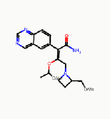 COCC1CCN1CC(OC(C)OC)=C(C(N)=O)c1ccc2ncncc2c1